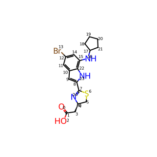 O=C(O)C[C@@H]1CSC(c2cc3cc(Br)cc(NC4CCCC4)c3[nH]2)=N1